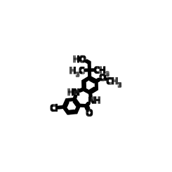 COc1cc2c(cc1C(C)(C)CO)Nc1cc(Cl)ccc1C(=O)N2